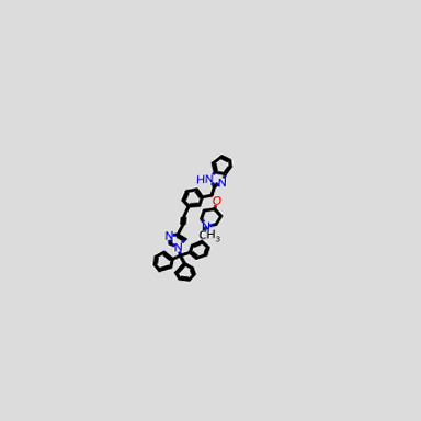 CN1CCC(OC(c2cccc(C#Cc3cn(C(c4ccccc4)(c4ccccc4)c4ccccc4)cn3)c2)c2nc3ccccc3[nH]2)CC1